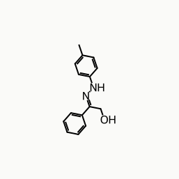 Cc1ccc(NN=C(CO)c2ccccc2)cc1